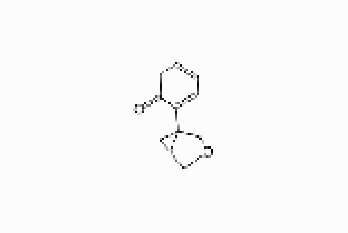 O=C1CC=CC=C1C12COCC1C2